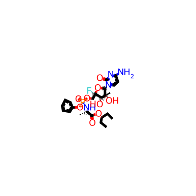 CCC(CC)OC(=O)[C@H](C)NP(=O)(OC[C@@]1(F)O[C@@H](n2ccc(N)nc2=O)[C@](C)(O)[C@@H]1O)Oc1ccccc1